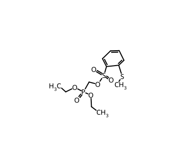 CCOP(=O)(COS(=O)(=O)c1ccccc1SC)OCC